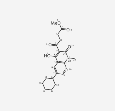 COC(=O)CCC(=O)c1c(O)c2cc(C3CCCCC3)cnc2n(C)c1=O